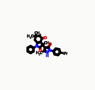 Cc1[nH]n(-c2ccc(C(C)C)cc2)c(=O)c1C1(C)C(=O)N(c2ccccc2)C2=C1C(=O)CC(C)(C)C2